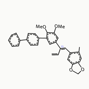 C=C/C(=C\c1cc2c(cc1C)OCO2)c1cc(OC)c(OC)c(-c2ccc(-c3ccccc3)cc2)c1